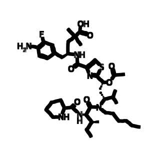 CCCCCCN(C(=O)[C@@H](NC(=O)C1CCCCN1)[C@@H](C)CC)[C@H](C[C@@H](OC(C)=O)c1nc(C(=O)N[C@@H](Cc2ccc(N)c(F)c2)CC(C)(C)C(=O)O)cs1)C(C)C